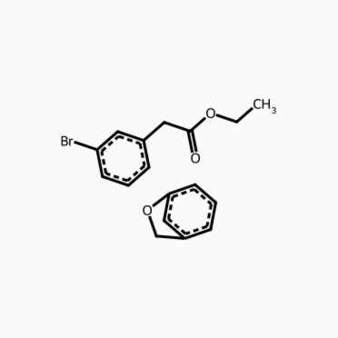 CCOC(=O)Cc1cccc(Br)c1.c1cc2cc(c1)OC2